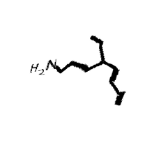 C=C/C=C/C(CC)CCCN